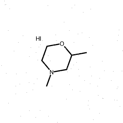 CC1CN(C)CCO1.I